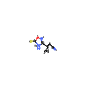 CC(CC#N)c1noc(=S)[nH]1